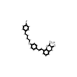 O=C(O)C1Oc2c(/C=C/c3ccc(OCCCCc4ccc(F)cc4)cc3)cccc2CC1=O